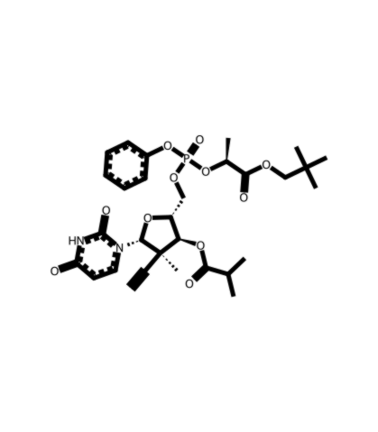 C#C[C@]1(C)[C@H](OC(=O)C(C)C)[C@@H](COP(=O)(Oc2ccccc2)O[C@@H](C)C(=O)OCC(C)(C)C)O[C@H]1n1ccc(=O)[nH]c1=O